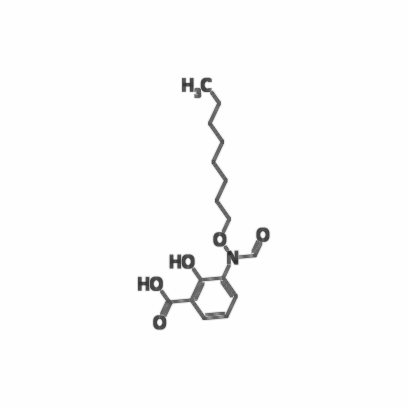 CCCCCCCCON(C=O)c1cccc(C(=O)O)c1O